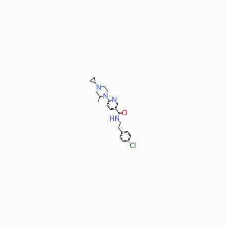 CC1CN(C2CC2)CCN1c1ccc(C(=O)NCCc2ccc(Cl)cc2)cn1